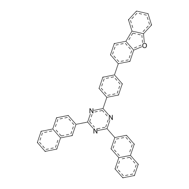 c1ccc2cc(-c3nc(-c4ccc(-c5ccc6c(c5)oc5ccccc56)cc4)nc(-c4ccc5ccccc5c4)n3)ccc2c1